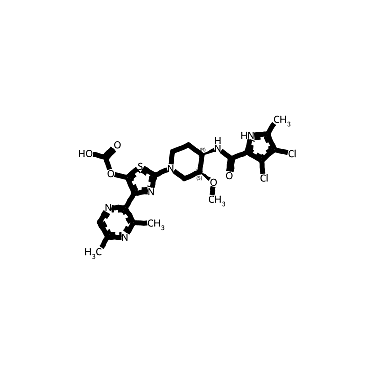 CO[C@H]1CN(c2nc(-c3ncc(C)nc3C)c(OC(=O)O)s2)CC[C@H]1NC(=O)c1[nH]c(C)c(Cl)c1Cl